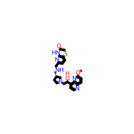 COc1ccc2nccc([C@H](O)CN3CC[C@H](CNCc4ccc5c(n4)NC(=O)CS5)C3)c2n1